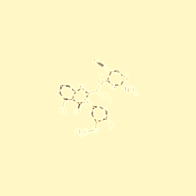 COc1cc(-n2c(C(C)Nc3nc(N)ncc3C#N)nc3cccc(Cl)c3c2=O)ccc1F